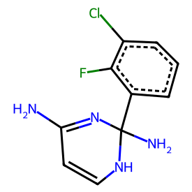 NC1=NC(N)(c2cccc(Cl)c2F)NC=C1